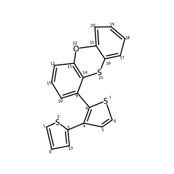 c1csc(-c2ccsc2-c2cccc3c2Sc2ccccc2O3)c1